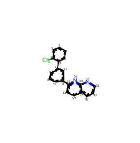 Clc1ccccc1-c1c[c]cc(-c2ccc3cccnc3n2)c1